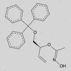 C=C[C@@H](COC(c1ccccc1)(c1ccccc1)c1ccccc1)OC(C)=NO